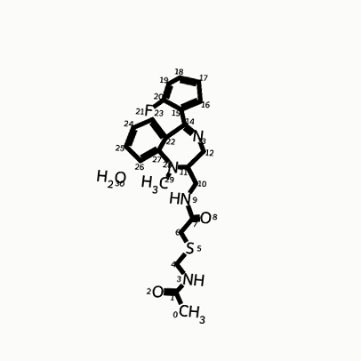 CC(=O)NCSCC(=O)NCC1CN=C(c2ccccc2F)c2ccccc2N1C.O